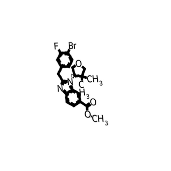 COC(=O)c1ccc2nc(Cc3ccc(Br)c(F)c3)n([C@@H]3COCC3(C)C)c2c1